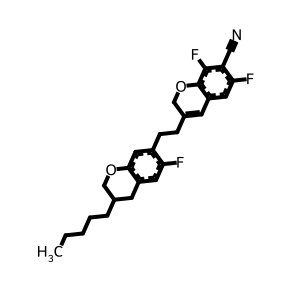 CCCCCC1COc2cc(CCC3=Cc4cc(F)c(C#N)c(F)c4OC3)c(F)cc2C1